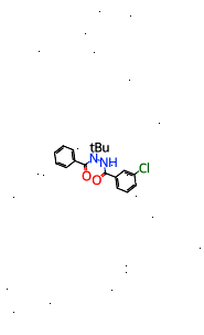 CC(C)(C)N(NC(=O)c1cccc(Cl)c1)C(=O)c1ccccc1